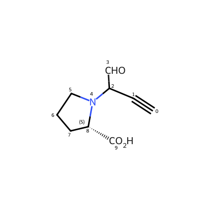 C#CC(C=O)N1CCC[C@H]1C(=O)O